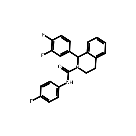 O=C(Nc1ccc(F)cc1)N1CCc2ccccc2C1c1ccc(F)c(F)c1